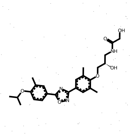 Cc1cc(-c2nc(-c3cc(C)c(OC[C@@H](O)CNC(=O)CO)c(C)c3)no2)ccc1OC(C)C